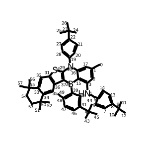 Cc1cc(Nc2ccc(C(C)(C)C)cc2)c2c(c1)N(c1ccc(C(C)(C)C)cc1)c1sc3cc4c(cc3c1B2c1cc(C(C)(C)C)ccc1C)C(C)(C)CCC4(C)C